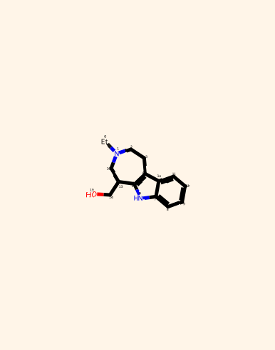 CCN1CCc2c([nH]c3ccccc23)C(CO)C1